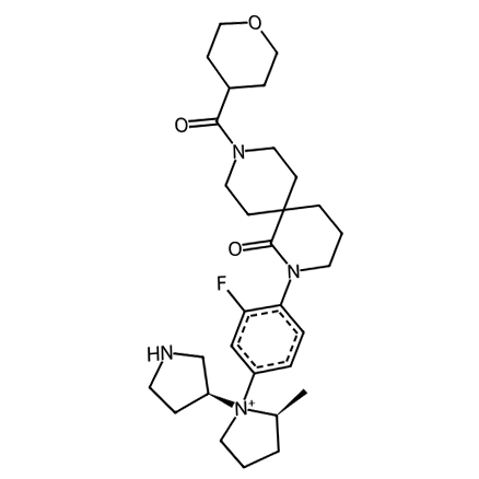 C[C@H]1CCC[N+]1(c1ccc(N2CCCC3(CCN(C(=O)C4CCOCC4)CC3)C2=O)c(F)c1)[C@H]1CCNC1